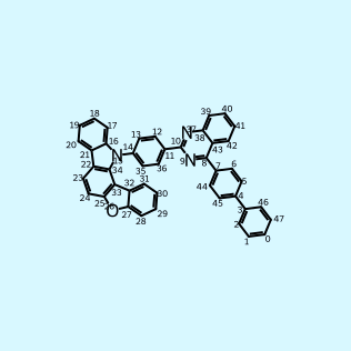 c1ccc(-c2ccc(-c3nc(-c4ccc(-n5c6ccccc6c6ccc7oc8ccccc8c7c65)cc4)nc4ccccc34)cc2)cc1